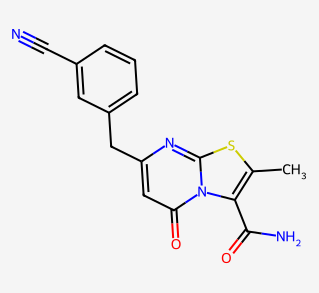 Cc1sc2nc(Cc3cccc(C#N)c3)cc(=O)n2c1C(N)=O